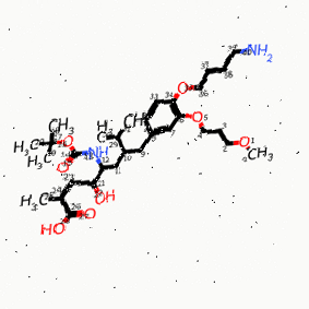 COCCCOc1cc(CC(CC(NC(=O)OC(C)(C)C)C(O)CC(C)C(=O)O)C(C)C)ccc1OCCCCN